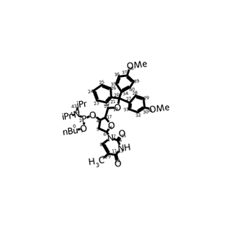 CCCCOP(OC1CC(n2cc(C)c(=O)[nH]c2=O)OC1COC(c1ccccc1)(c1ccc(OC)cc1)c1ccc(OC)cc1)N(C(C)C)C(C)C